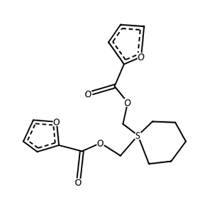 O=C(OCS1(COC(=O)c2ccco2)CCCCC1)c1ccco1